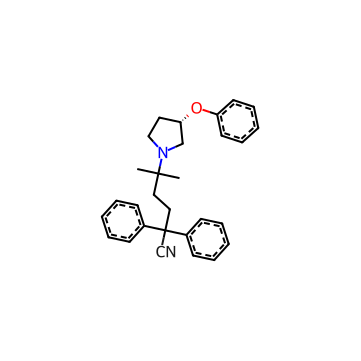 CC(C)(CCC(C#N)(c1ccccc1)c1ccccc1)N1CC[C@H](Oc2ccccc2)C1